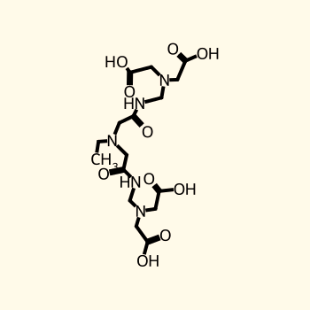 CCN(CC(=O)NCN(CC(=O)O)CC(=O)O)CC(=O)NCN(CC(=O)O)CC(=O)O